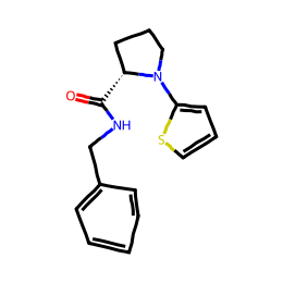 O=C(NCc1ccccc1)[C@@H]1CCCN1c1cccs1